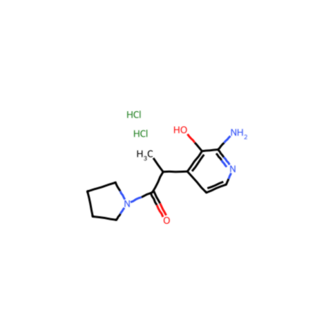 CC(C(=O)N1CCCC1)c1ccnc(N)c1O.Cl.Cl